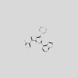 Cc1n[nH]cc1-c1csc2c(N3CCOC[C@H]3C)nc(-c3ccnc4[nH]ccc34)nc12